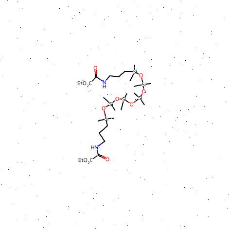 CCOC(=O)C(=O)NCCC[Si](C)(C)O[Si](C)(C)O[Si](C)(C)O[Si](C)(C)O[Si](C)(C)O[Si](C)(C)CCCNC(=O)C(=O)OCC